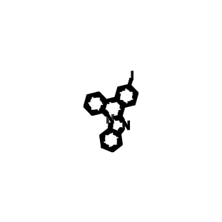 Ic1ccc2c(c1)c1ccccc1n1c3ccccc3nc21